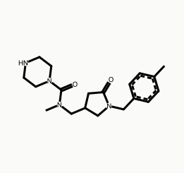 Cc1ccc(CN2CC(CN(C)C(=O)N3CCNCC3)CC2=O)cc1